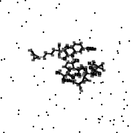 CC[C@@H]1[C@@H](Oc2nc3cc(OC)ccc3nc2C(F)(F)CCCC[C@@H]2C[C@H]2I)CN(C(=O)[C@@H](NC(C)=O)C(C)C)[C@@H]1C(=O)N[C@]1(C(=O)NS(=O)(=O)C2(C)CC2)C[C@H]1C(F)F